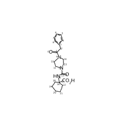 O=C(Cc1ccccc1)N1CCN(C(=O)NC2(C(=O)O)CCCCC2)CC1